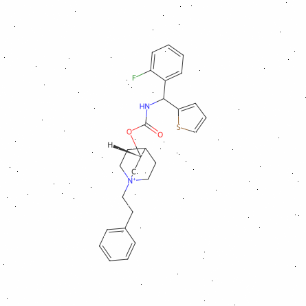 O=C(NC(c1cccs1)c1ccccc1F)O[C@H]1C[N+]2(CCc3ccccc3)CCC1CC2